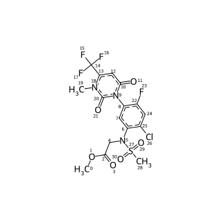 COC(=O)CN(c1cc(-n2c(=O)cc(C(F)(F)F)n(C)c2=O)c(F)cc1Cl)S(C)(=O)=O